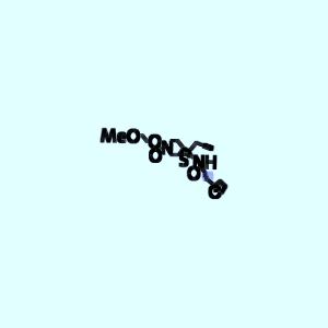 C#CCc1c(NC(=O)/C=C/c2ccco2)sc2c1CCN(C(=O)OCCOC)C2